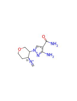 C#[N+][C@H]1CCOCC1n1cc(C(N)=O)c(N)n1